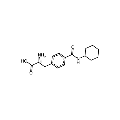 N[C@@H](Cc1ccc(C(=O)NC2CCCCC2)cc1)C(=O)O